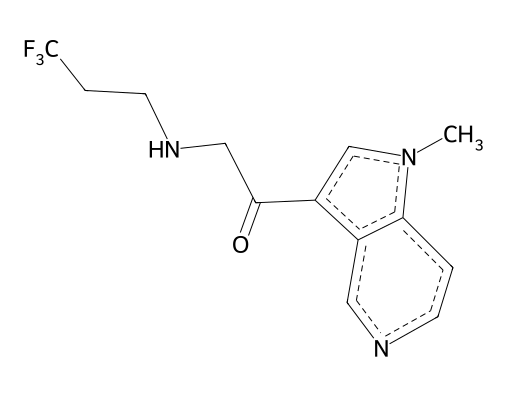 Cn1cc(C(=O)CNCCC(F)(F)F)c2cnccc21